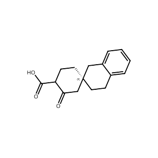 O=C(O)C1CC[C@]2(CCc3ccccc3C2)CC1=O